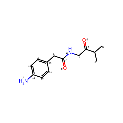 CC(C)C(=O)CNC(=O)Cc1ccc(N)cc1